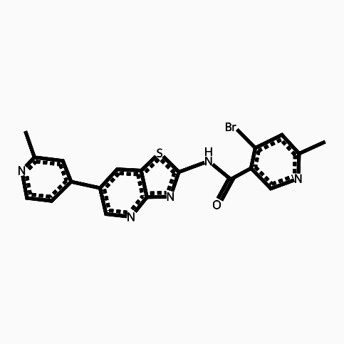 Cc1cc(-c2cnc3nc(NC(=O)c4cnc(C)cc4Br)sc3c2)ccn1